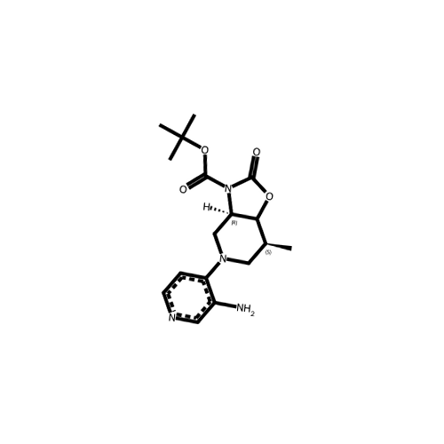 C[C@H]1CN(c2ccncc2N)C[C@@H]2C1OC(=O)N2C(=O)OC(C)(C)C